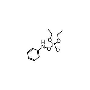 CCOP(=O)(OCC)ONc1ccccc1